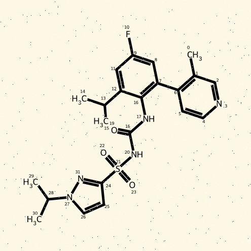 Cc1cnccc1-c1cc(F)cc(C(C)C)c1NC(=O)NS(=O)(=O)c1ccn(C(C)C)n1